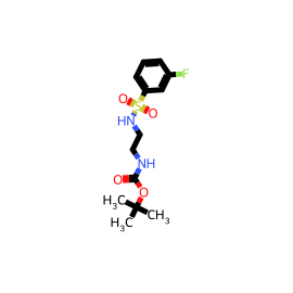 CC(C)(C)OC(=O)NCCNS(=O)(=O)c1cccc(F)c1